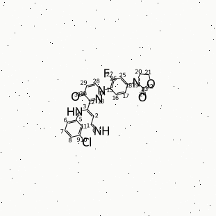 N=C/C=C(\Nc1cccc(Cl)c1)c1nn(-c2ccc(N3CCOC3=O)cc2F)ccc1=O